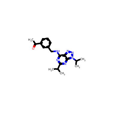 CC(=O)c1cccc(CNc2nc(C(C)C)nc3c2nnn3C(C)C)c1